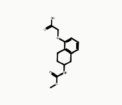 COC(=O)NC1CCc2c(cccc2OCC(=O)O)C1